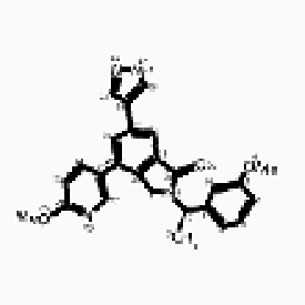 COc1cccc([C@@H](C)N2Cc3c(cc(-c4cn[nH]c4)cc3-c3ccc(OC)nc3)C2=O)c1